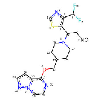 O=NCC(c1scnc1C(F)F)N1CCC(COc2nccn3nccc23)CC1